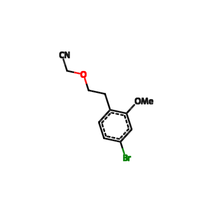 COc1cc(Br)ccc1CCOCC#N